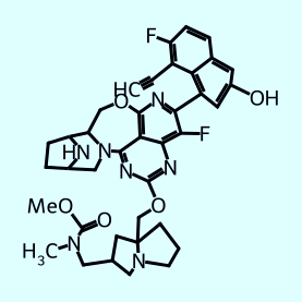 C#Cc1c(F)ccc2cc(O)cc(-c3nc4c5c(nc(OCC67CCCN6CC(CN(C)C(=O)OC)C7)nc5c3F)N3CC5CCC(N5)C3CO4)c12